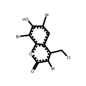 O=c1oc2c(Br)c(O)c(Br)cc2c(CCl)c1Br